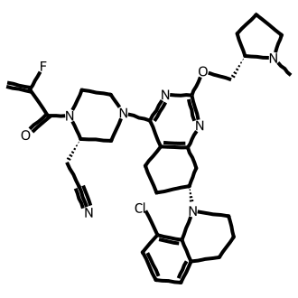 C=C(F)C(=O)N1CCN(c2nc(OC[C@@H]3CCCN3C)nc3c2CC[C@@H](N2CCCc4cccc(Cl)c42)C3)C[C@@H]1CC#N